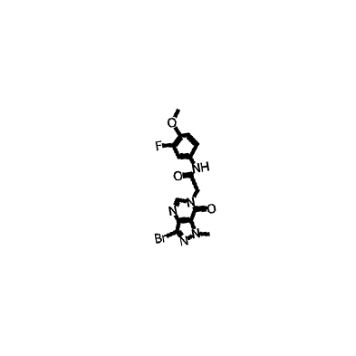 COc1ccc(NC(=O)Cn2cnc3c(Br)nn(C)c3c2=O)cc1F